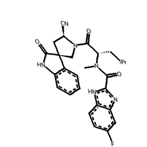 CC(C)C[C@@H](C(=O)N1C[C@]2(C[C@H]1C#N)C(=O)Nc1ccccc12)N(C)C(=O)c1nc2cc(F)ccc2[nH]1